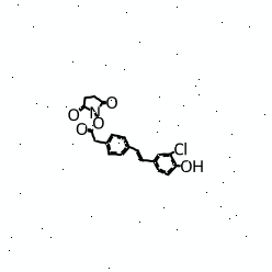 O=C(Cc1ccc(/C=C/c2ccc(O)c(Cl)c2)cc1)ON1C(=O)CCC1=O